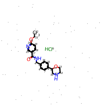 Cl.O=C(NCc1ccc(C2CNCCO2)cc1)c1ccc(OCC(F)(F)F)nc1